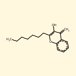 C=C1C(O)=C(CCCCCCC)Oc2ccccc21